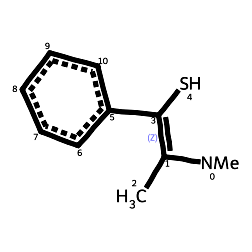 CN/C(C)=C(\S)c1ccccc1